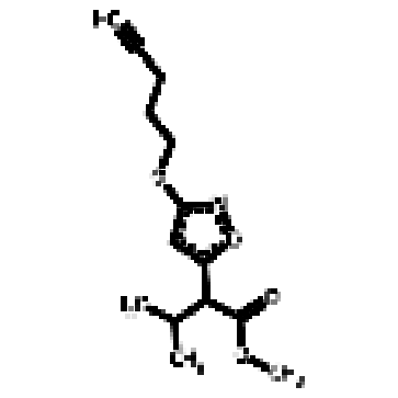 C#CCCCOc1cc(C(C(=O)OC)C(C)C)on1